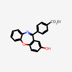 CCOC(=O)c1ccc(C2=Nc3ccccc3Oc3ccc(O)cc32)cc1